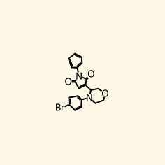 O=C1C=C(C2COCCN2c2ccc(Br)cc2)C(=O)N1c1ccccc1